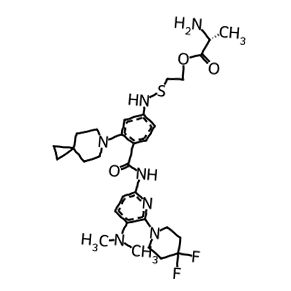 C[C@@H](N)C(=O)OCCSNc1ccc(C(=O)Nc2ccc(N(C)C)c(N3CCC(F)(F)CC3)n2)c(N2CCC3(CC2)CC3)c1